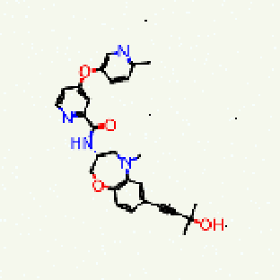 Cc1ccc(Oc2ccnc(C(=O)N[C@H]3COc4ccc(C#CC(C)(C)O)cc4N(C)C3)c2)cn1